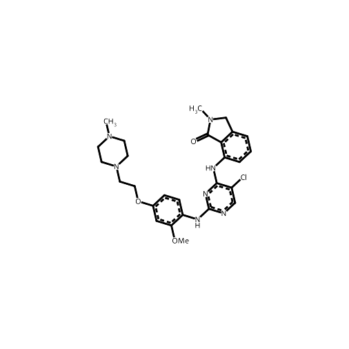 COc1cc(OCCN2CCN(C)CC2)ccc1Nc1ncc(Cl)c(Nc2cccc3c2C(=O)N(C)C3)n1